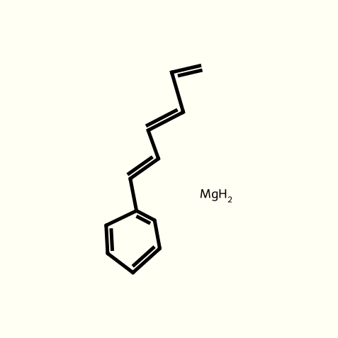 C=CC=CC=Cc1ccccc1.[MgH2]